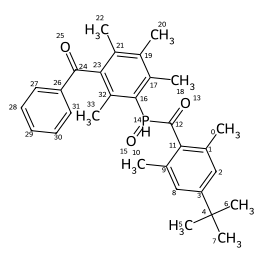 Cc1cc(C(C)(C)C)cc(C)c1C(=O)[PH](=O)c1c(C)c(C)c(C)c(C(=O)c2ccccc2)c1C